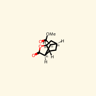 COC(=O)[C@H]1[C@@H]2C[C@@H]3[C@H]1C(=O)O[C@@H]3C2